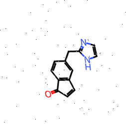 O=C1C=Cc2cc(Cc3ncc[nH]3)ccc21